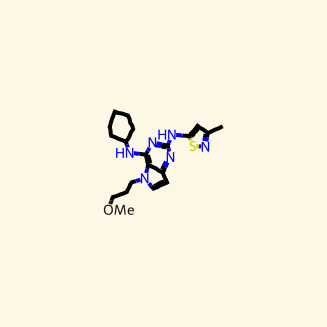 COCCCn1ccc2nc(Nc3cc(C)ns3)nc(NC3CCCCC3)c21